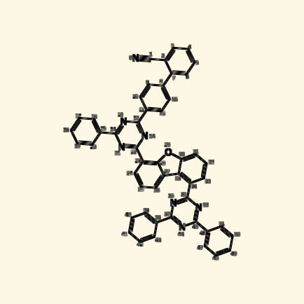 N#Cc1ccccc1-c1ccc(-c2nc(-c3ccccc3)nc(-c3cccc4c3oc3cccc(-c5nc(-c6ccccc6)nc(-c6ccccc6)n5)c34)n2)cc1